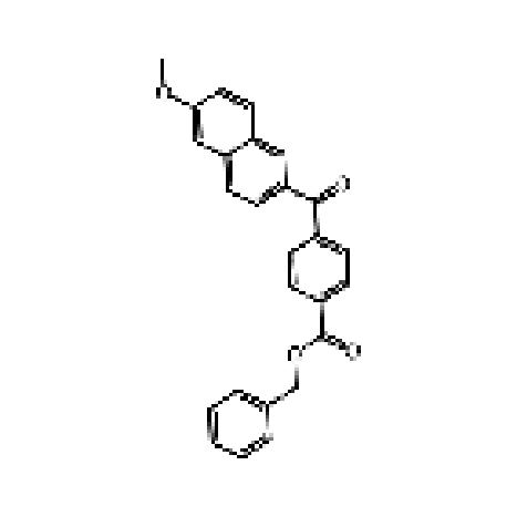 COc1ccc2cc(C(=O)c3ccc(C(=O)OCc4ccccc4)cc3)ccc2c1